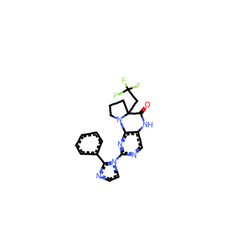 O=C1Nc2cnc(-n3ccnc3-c3ccccc3)nc2N2CCCC12CC(F)(F)F